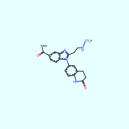 CNC(=O)c1ccc2c(c1)nc(CCNC(=O)O)n2-c1ccc2c(c1)CCC(=O)N2